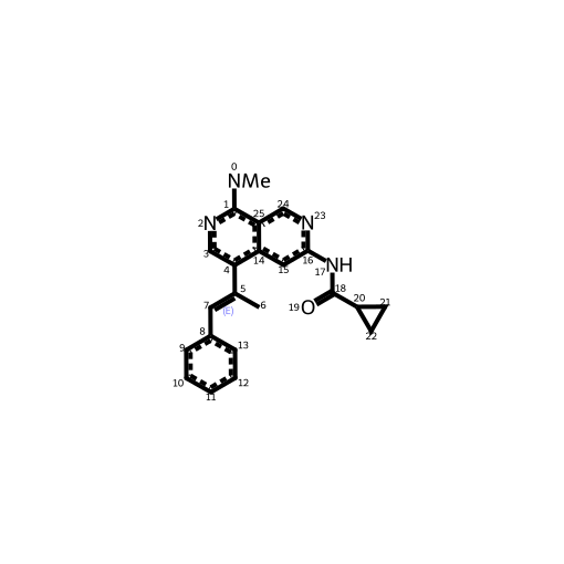 CNc1ncc(/C(C)=C/c2ccccc2)c2cc(NC(=O)C3CC3)ncc12